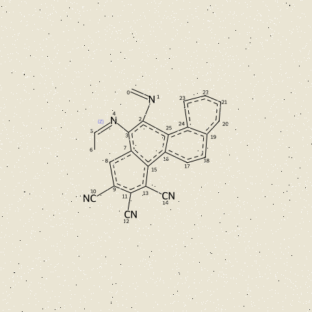 C=Nc1c(/N=C\C)c2cc(C#N)c(C#N)c(C#N)c2c2ccc3ccccc3c12